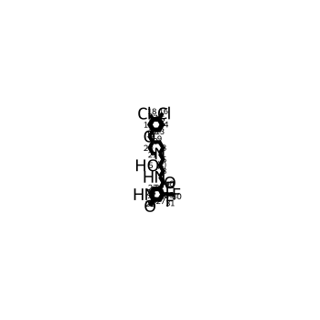 O=C(NC[C@@H](O)CN1CCC(Oc2ccc(Cl)c(Cl)c2)CC1)c1c[nH]c(=O)cc1C(F)(F)F